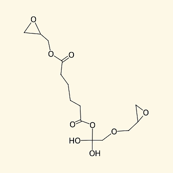 O=C(CCCCC(=O)OC(O)(O)COCC1CO1)OCC1CO1